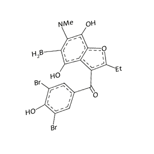 Bc1c(NC)c(O)c2oc(CC)c(C(=O)c3cc(Br)c(O)c(Br)c3)c2c1O